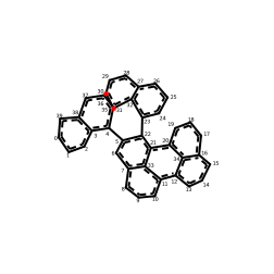 c1ccc2c(-c3cc4cccc5c6cccc7cccc(c(c3-c3cccc8ccccc38)c45)c76)cccc2c1